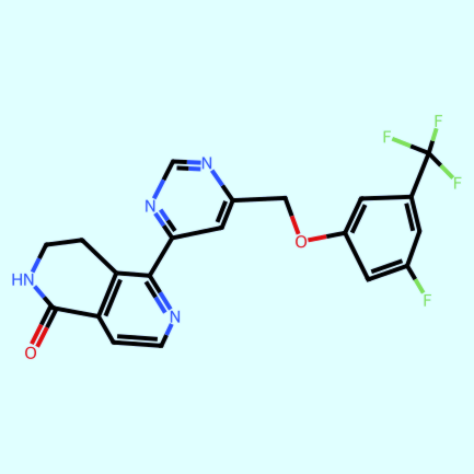 O=C1NCCc2c1ccnc2-c1cc(COc2cc(F)cc(C(F)(F)F)c2)ncn1